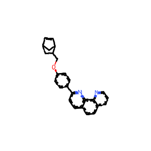 C1=CC2CC1CC2COc1ccc(-c2ccc3ccc4cccnc4c3n2)cc1